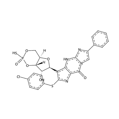 O=c1c2nc(Sc3ccc(Cl)cc3)n([C@@H]3O[C@@H]4COP(=O)(S)O[C@H]4[C@H]3O)c2[nH]c2nc(-c3ccccc3)cn12